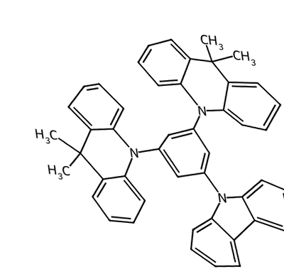 CC1(C)c2ccccc2N(c2cc(N3c4ccccc4C(C)(C)c4ccccc43)cc(-n3c4ccccc4c4ccccc43)c2)c2ccccc21